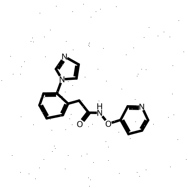 O=C(Cc1ccccc1-n1ccnc1)NOc1cccnc1